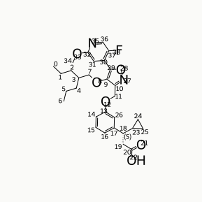 CCCC(CCC)COc1c(COc2cccc([C@@H](CC(=O)O)C3CC3)c2)noc1-c1cc(OC)ncc1F